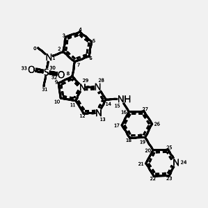 CN(c1ccccc1-c1ccc2cnc(Nc3ccc(-c4cccnc4)cc3)nn12)S(C)(=O)=O